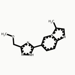 COCc1n[nH]c(-c2ccc3ncc(C)n3c2)n1